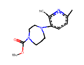 Cc1ccc(N2CCN(C(=O)OC(C)(C)C)CC2)c(C#N)n1